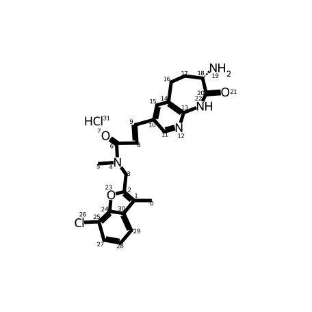 Cc1c(CN(C)C(=O)/C=C/c2cnc3c(c2)CC[C@H](N)C(=O)N3)oc2c(Cl)cccc12.Cl